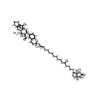 CC1(C/C=C/CCCCCCCCOC(=O)CCCC[C@@H]2SC[C@@H]3NC(=O)N[C@@H]32)C=Cc2c(ccc3c2[N+]([O-])=C2C3=C[C@@]34NC(=O)C5(CCCN5C3=O)CC4C2(C)C)O1